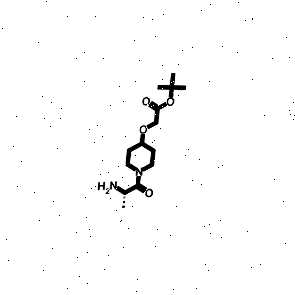 C[C@H](N)C(=O)N1CCC(OCC(=O)OC(C)(C)C)CC1